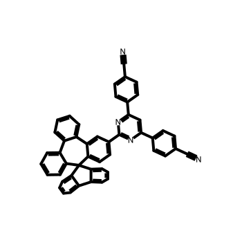 N#Cc1ccc(-c2cc(-c3ccc(C#N)cc3)nc(-c3ccc4c(c3)-c3ccccc3-c3ccccc3C43c4ccccc4-c4ccccc43)n2)cc1